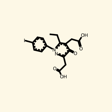 CCc1c(CC(=O)O)c(=O)c(CC(=O)O)nn1-c1ccc(I)cc1